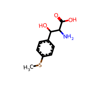 CSc1ccc(C(O)C(N)C(=O)O)cc1